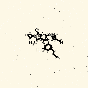 Cc1cc(/C=C/C#N)cc(C)c1Oc1nc(NC23CC(C#N)(C2)C3)nc2c1C(C)N(C1CCC1)C2=O